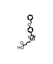 O=C(O)CCCn1nnc(-c2ccc(OCc3ccccc3)cc2)n1